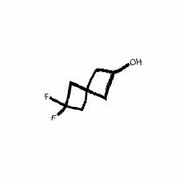 OC1CC2(C1)CC(F)(F)C2